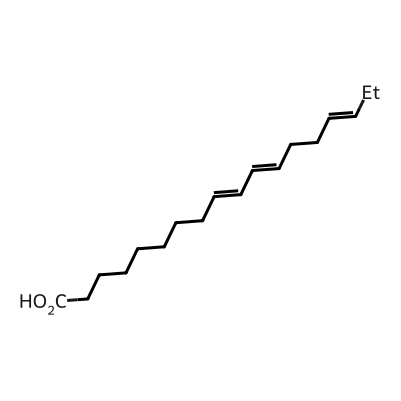 CC/C=C/CC/C=C/C=C/CCCCCCCC(=O)O